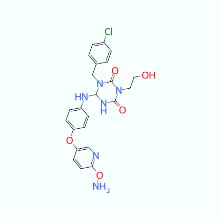 NOc1ccc(Oc2ccc(NC3NC(=O)N(CCO)C(=O)N3Cc3ccc(Cl)cc3)cc2)cn1